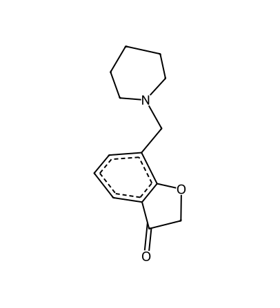 O=C1COc2c(CN3CCCCC3)cccc21